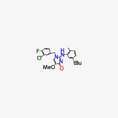 COc1cn(Cc2ccc(F)c(Cl)c2)c(Nc2cc(C(C)(C)C)ccc2C)nc1=O